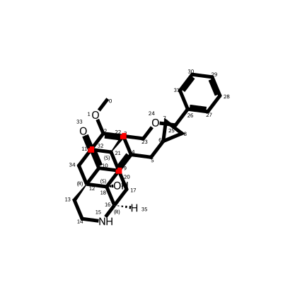 COc1cc(CC2CC2)c2c(c1)[C@]13CCN[C@H](C2)[C@]1(O)C[C@H](CCOCc1ccccc1)C(=O)C3